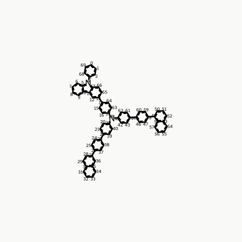 c1ccc(-n2c3ccccc3c3cc(-c4ccc(N(c5ccc(-c6ccc(-c7ccc8ccccc8c7)cc6)cc5)c5ccc(-c6ccc(-c7cccc8ccccc78)cc6)cc5)cc4)ccc32)cc1